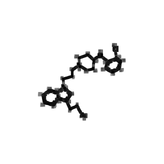 CC(=O)CCc1cn(CCCN2CCC(Oc3ccccc3Cl)CC2)c2ccccc12